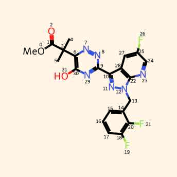 COC(=O)C(C)(C)c1nnc(-c2nn(Cc3cccc(F)c3F)c3ncc(F)cc23)nc1O